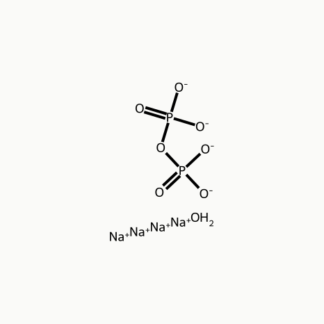 O.O=P([O-])([O-])OP(=O)([O-])[O-].[Na+].[Na+].[Na+].[Na+]